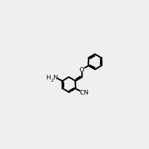 N#CC1=CC=C(N)CC1=COc1ccccc1